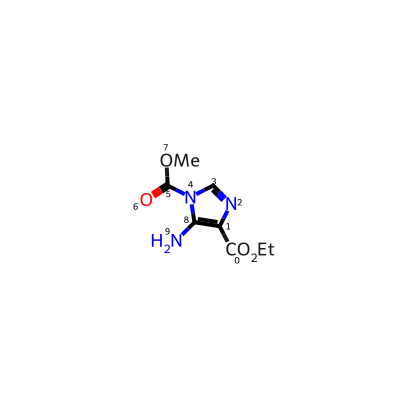 CCOC(=O)c1ncn(C(=O)OC)c1N